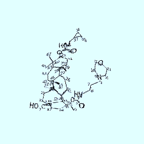 C[C@H](OC(=O)NCCCN1CCOCC1)[C@@H]1CC[C@]2(C(=O)O)CC[C@]3(C)C(CCC4[C@@]5(C)CC[C@@H](OC(=O)NC6CC6)C(C)(C)C5CC[C@]43C)C12